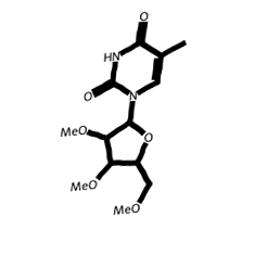 COCC1OC(n2cc(C)c(=O)[nH]c2=O)C(OC)C1OC